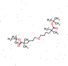 CC(C)(C)OC(=O)C(C)(C)CCCCOCCCCC(C)(C)C(=O)OC(C)(C)C